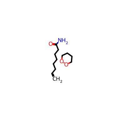 C1CCOOC1.C=CCCCCCC(N)=O